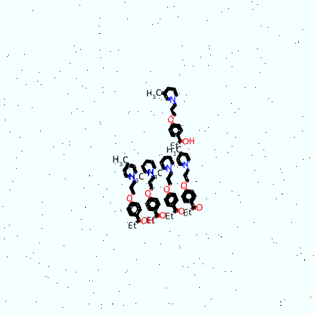 CCC(=O)c1ccc(OCCCN2CCC(C)CC2)cc1.CCC(=O)c1ccc(OCCCN2CCCCC2C)cc1.CCC(=O)c1ccc(OCCCN2CCCCC2C)cc1.CCC(O)c1ccc(OCCCN2CCC(C)CC2)cc1.CCC(O)c1ccc(OCCCN2CCCC(C)C2)cc1